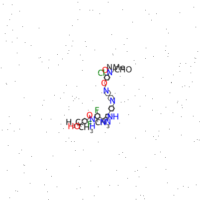 CNC(=O)N(CCC=O)c1ccc(OCCN2CCC3(CC2)CCN(Cc2ccc(-c4cc5c(-c6cc(F)cc(NC(=O)c7ccc(C(C)(C)O)cc7F)c6C)ncnc5[nH]4)cc2)CC3)cc1Cl